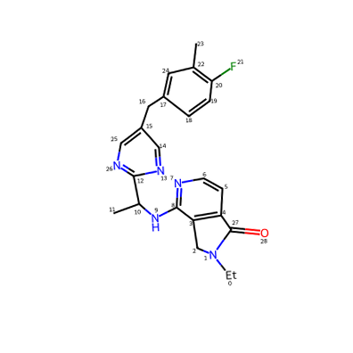 CCN1Cc2c(ccnc2NC(C)c2ncc(Cc3ccc(F)c(C)c3)cn2)C1=O